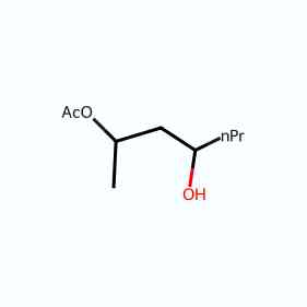 [CH2]CCC(O)CC(C)OC(C)=O